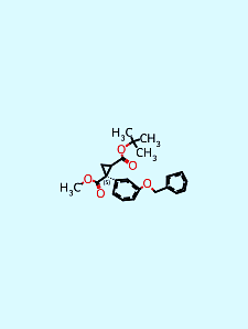 COC(=O)[C@@]1(c2cccc(OCc3ccccc3)c2)CC1C(=O)OC(C)(C)C